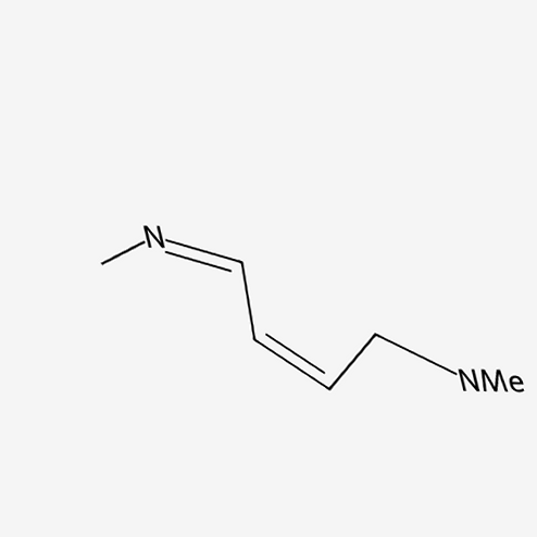 C/N=C\C=C/CNC